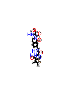 CN/C(C=O)=C(/C=O)N1CCc2ccc(CNC(=O)c3nc4sc(C)c(C)c4c(=O)[nH]3)cc2C1=O